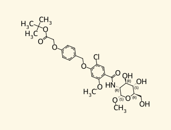 COc1cc(OCc2ccc(OCC(=O)OC(C)(C)C)cc2)c(Cl)cc1C(=O)N[C@H]1[C@@H](OC)O[C@H](CO)[C@@H](O)[C@@H]1O